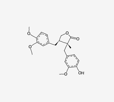 COc1cc(C[C@@]2(C)C(=O)OC[C@@H]2Cc2ccc(OC)c(OC)c2)ccc1O